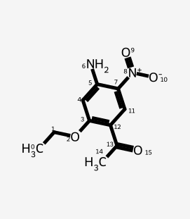 CCOc1cc(N)c([N+](=O)[O-])cc1C(C)=O